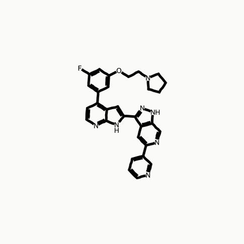 Fc1cc(OCCN2CCCC2)cc(-c2ccnc3[nH]c(-c4n[nH]c5cnc(-c6cccnc6)cc45)cc23)c1